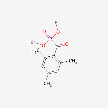 CCOP(=O)(OCC)C(=O)c1c(C)cc(C)cc1C